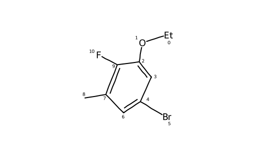 CCOc1cc(Br)cc(C)c1F